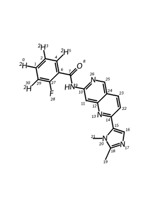 [2H]c1c([2H])c([2H])c(C(=O)Nc2cc3nc(-c4cnc(C)n4C)ccc3cn2)c(F)c1[2H]